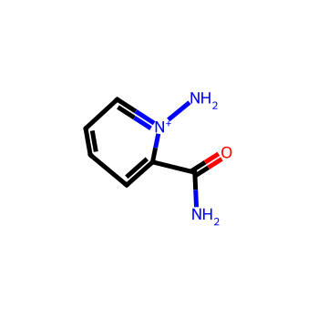 NC(=O)c1cccc[n+]1N